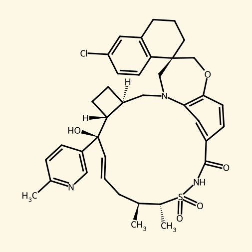 Cc1ccc([C@@]2(O)/C=C/C[C@H](C)[C@@H](C)S(=O)(=O)NC(=O)c3ccc4c(c3)N(C[C@@H]3CC[C@H]32)C[C@@]2(CCCc3cc(Cl)ccc32)CO4)cn1